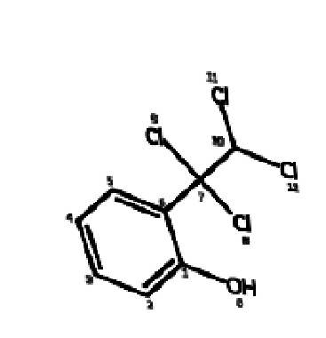 Oc1ccccc1C(Cl)(Cl)C(Cl)Cl